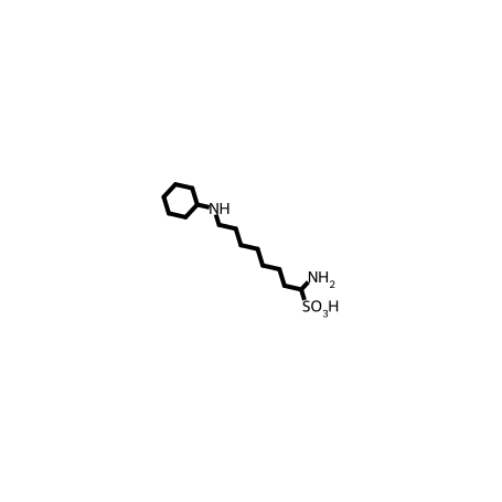 NC(CCCCCCCNC1CCCCC1)S(=O)(=O)O